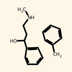 CNCCC(O)c1ccccc1.Cc1ccccc1